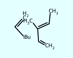 C=CC(C)=CC.C=CC(C)CC